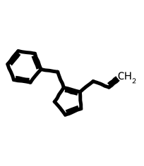 C=CCC1=C(Cc2ccccc2)CC=C1